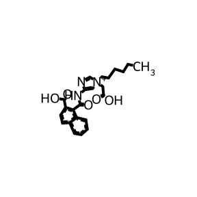 CCCCCC[N+]1(CC(=O)O)C=NC(NC(=O)c2c(C(=O)O)ccc3ccccc23)=C1